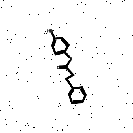 O=C(CCc1ccccc1)Oc1ccc(O)cc1